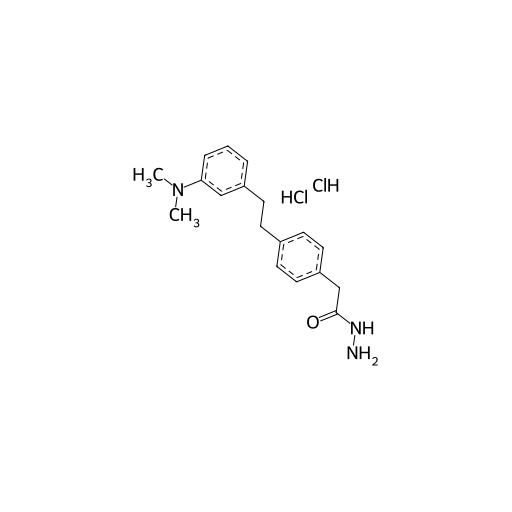 CN(C)c1cccc(CCc2ccc(CC(=O)NN)cc2)c1.Cl.Cl